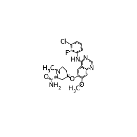 COc1cc2ncnc(Nc3cccc(Cl)c3F)c2cc1O[C@@H]1CCN(C)[C@@H](C(N)=O)C1